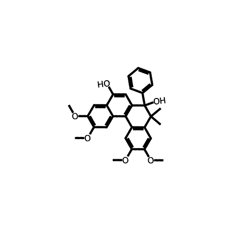 COc1cc2c(cc1OC)C(C)(C)C(O)(c1ccccc1)c1cc(O)c3cc(OC)c(OC)cc3c1-2